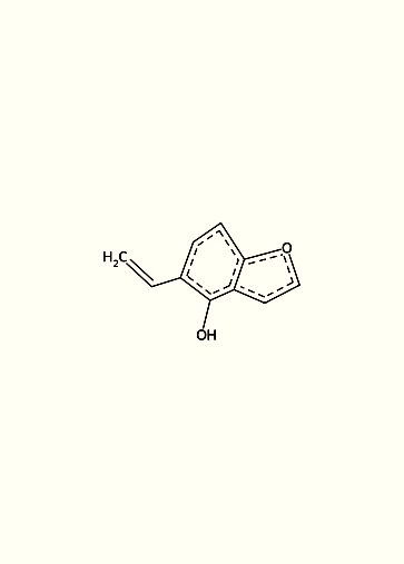 C=Cc1ccc2occc2c1O